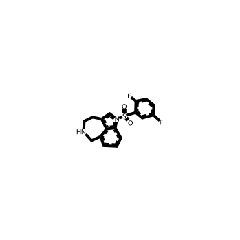 O=S(=O)(c1cc(F)ccc1F)n1cc2c3c(cccc31)CNCC2